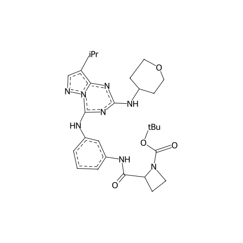 CC(C)c1cnn2c(Nc3cccc(NC(=O)C4CCN4C(=O)OC(C)(C)C)c3)nc(NC3CCOCC3)nc12